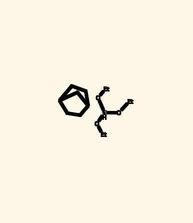 C1CC2CCC1C2.CCO[SiH](OCC)OCC